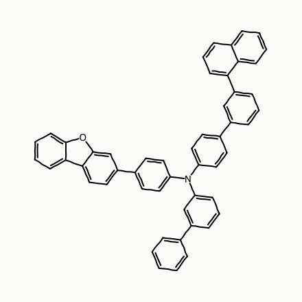 c1ccc(-c2cccc(N(c3ccc(-c4cccc(-c5cccc6ccccc56)c4)cc3)c3ccc(-c4ccc5c(c4)oc4ccccc45)cc3)c2)cc1